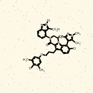 CCn1nc2cccc(N3C[C@@H](C)n4c(c(CCCOc5cc(C)c(Cl)c(C)c5)c5ccc(Cl)c(-c6c(C)nn(C)c6C)c54)C3=O)c2c1C(=O)O